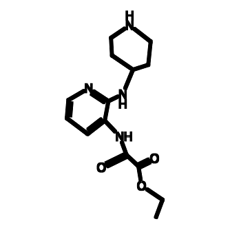 CCOC(=O)C(=O)Nc1cccnc1NC1CCNCC1